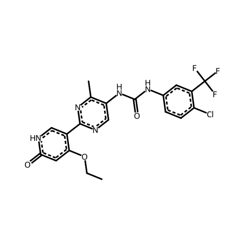 CCOc1cc(=O)[nH]cc1-c1ncc(NC(=O)Nc2ccc(Cl)c(C(F)(F)F)c2)c(C)n1